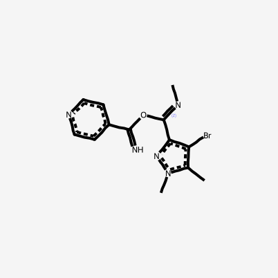 C/N=C(\OC(=N)c1ccncc1)c1nn(C)c(C)c1Br